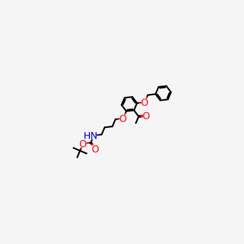 CC(=O)c1c(OCCCCNC(=O)OC(C)(C)C)cccc1OCc1ccccc1